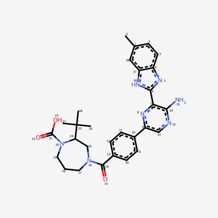 Cc1ccc2nc(-c3nc(-c4ccc(C(=O)N5CCCN(C(=O)O)C(C(C)(C)C)C5)cc4)cnc3N)[nH]c2c1